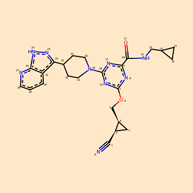 N#C[C@@H]1C[C@@H]1COc1nc(C(=O)NCC2CC2)nc(N2CCC(c3n[nH]c4ncccc34)CC2)n1